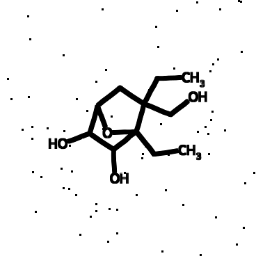 CCC1(CO)CC2OC1(CC)C(O)C2O